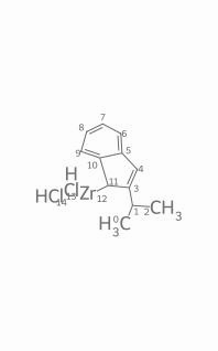 CC(C)C1=Cc2ccccc2[CH]1[Zr].Cl.Cl